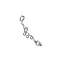 CN1CCN(CCOCC(=O)CC(=O)OCCCc2ccccc2)CC1